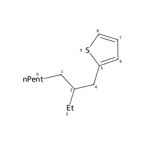 CCCCCCC(CC)Cc1cc[c]s1